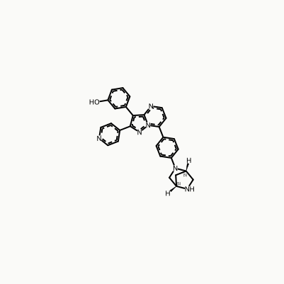 Oc1cccc(-c2c(-c3ccncc3)nn3c(-c4ccc(N5C[C@@H]6C[C@H]5CN6)cc4)ccnc23)c1